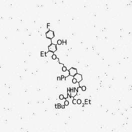 CCCc1c(OCCCOc2cc(O)c(-c3ccc(F)cc3)cc2CC)ccc2c1OC(C(=O)NCC(NC(=O)OC(C)(C)C)C(=O)OCC)CC2